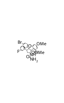 COc1cc(OC)c2c(c1)OC1(c3ccc(Br)cc3)C(c3cccc(F)c3)CC(NC(N)=O)C21O